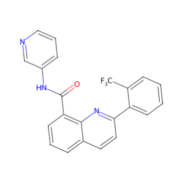 O=C(Nc1cccnc1)c1cccc2ccc(-c3ccccc3C(F)(F)F)nc12